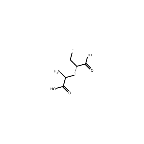 NC(C[C@H](CF)C(=O)O)C(=O)O